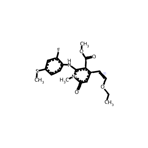 CCO/C=C\c1cc(=O)n(C)c(Nc2ccc(SC)cc2F)c1C(=O)OC